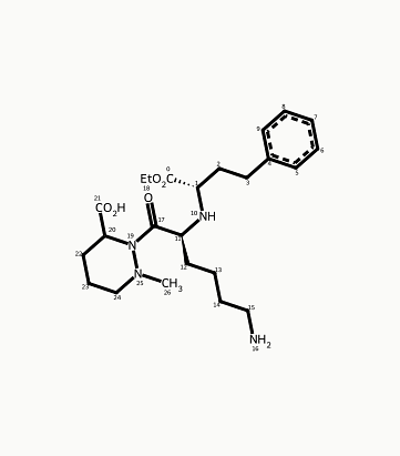 CCOC(=O)[C@H](CCc1ccccc1)N[C@@H](CCCCN)C(=O)N1C(C(=O)O)CCCN1C